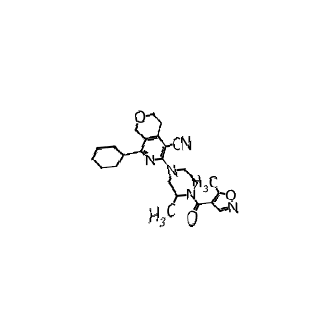 Cc1oncc1C(=O)N1CCN(c2nc(C3CCCCC3)c3c(c2C#N)CCOC3)CC1C